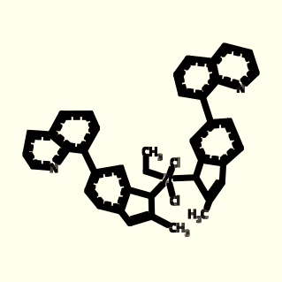 C[CH2][Zr]([Cl])([Cl])([CH]1C(C)=Cc2ccc(-c3cccc4cccnc34)cc21)[CH]1C(C)=Cc2ccc(-c3cccc4cccnc34)cc21